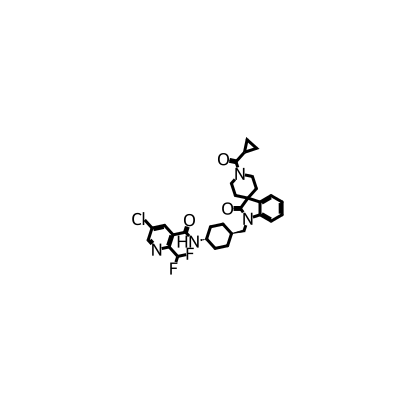 O=C(N[C@H]1CC[C@H](CN2C(=O)C3(CCN(C(=O)C4CC4)CC3)c3ccccc32)CC1)c1cc(Cl)cnc1C(F)F